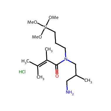 CO[Si](CCCN(CC(C)CN)C(=O)C(C)=C(C)C)(OC)OC.Cl